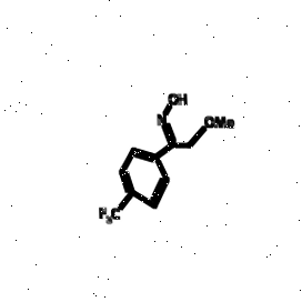 COC/C(=N\O)c1ccc(C(F)(F)F)cc1